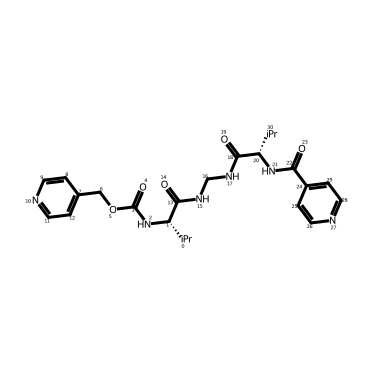 CC(C)[C@H](NC(=O)OCc1ccncc1)C(=O)NCNC(=O)[C@@H](NC(=O)c1ccncc1)C(C)C